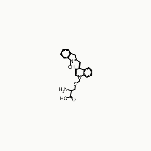 C[N+]1=C(C=C2C=CN(CSCC(N)C(=O)O)c3ccccc32)Cc2ccccc21